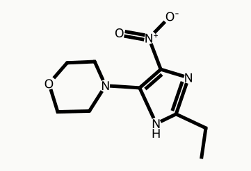 CCc1nc([N+](=O)[O-])c(N2CCOCC2)[nH]1